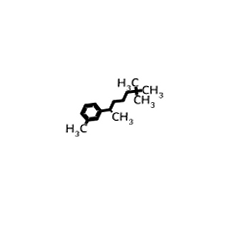 Cc1cccc([C@H](C)CCCC(C)(C)C)c1